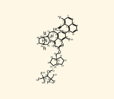 C#Cc1c(F)ccc2cccc(-c3nc4c5c(nc(OC[C@@]67CCCN6[C@H](COC(C(F)(F)F)C(F)(F)F)CC7)nc5c3F)N3C[C@H]5CC[C@H](N5)[C@H]3CC4)c12